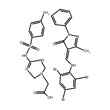 CC1=NN(c2ccccc2)C(=S)/C1=C/Nc1c(Br)cc(Br)cc1Br.Cc1ccc(S(=O)(=O)NC2=NCN(CC(=O)O)CN2)cc1